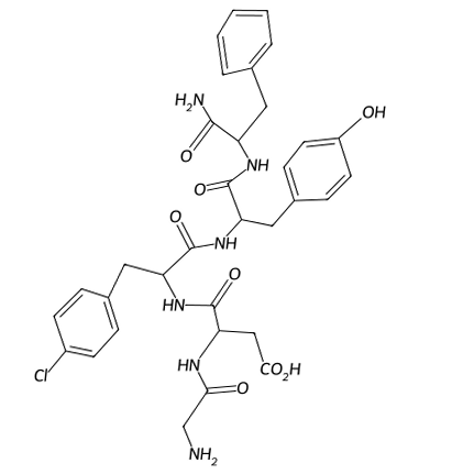 NCC(=O)NC(CC(=O)O)C(=O)NC(Cc1ccc(Cl)cc1)C(=O)NC(Cc1ccc(O)cc1)C(=O)NC(Cc1ccccc1)C(N)=O